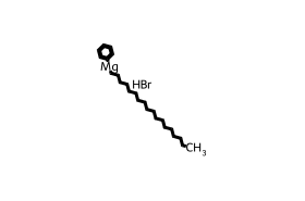 Br.CCCCCCCCCCCCCCCCC[CH2][Mg][c]1ccccc1